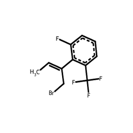 CC=C(CBr)c1c(F)cccc1C(F)(F)F